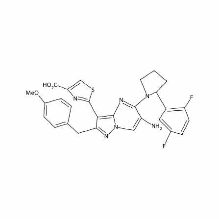 COc1ccc(Cc2nn3cc(N)c(N4CCCC4c4cc(F)ccc4F)nc3c2-c2nc(C(=O)O)cs2)cc1